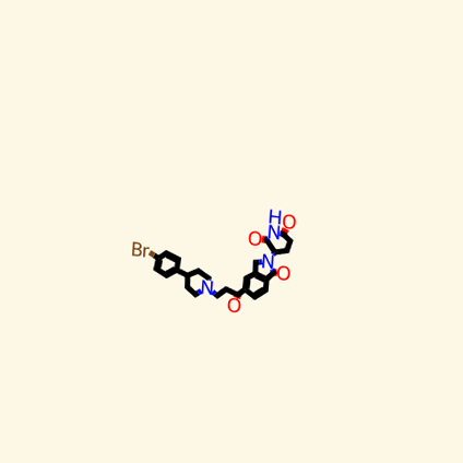 O=C1CCC(N2Cc3cc(C(=O)CCN4CCC(c5ccc(Br)cc5)CC4)ccc3C2=O)C(=O)N1